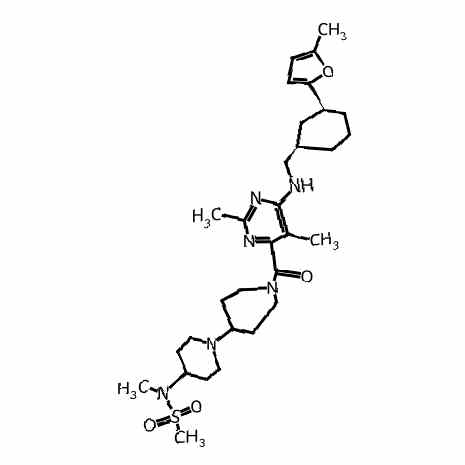 Cc1nc(NC[C@@H]2CCC[C@H](c3ccc(C)o3)C2)c(C)c(C(=O)N2CCC(N3CCC(N(C)S(C)(=O)=O)CC3)CC2)n1